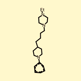 CCN1CCN(CCCCC2CCN(c3ccccc3)CC2)CC1